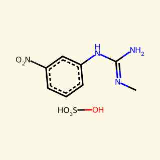 CN=C(N)Nc1cccc([N+](=O)[O-])c1.O=S(=O)(O)O